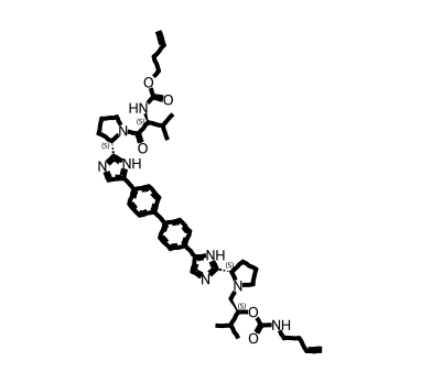 C=CCCNC(=O)O[C@H](CN1CCC[C@H]1c1ncc(-c2ccc(-c3ccc(-c4cnc([C@@H]5CCCN5C(=O)[C@@H](NC(=O)OCCC=C)C(C)C)[nH]4)cc3)cc2)[nH]1)C(C)C